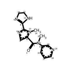 CN(C(=O)c1cnc(C2=NCCN2)n1C)c1cccnc1